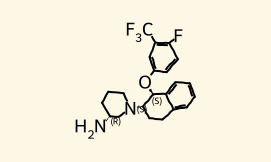 N[C@@H]1CCCN([C@H]2CCc3ccccc3[C@@H]2Oc2ccc(F)c(C(F)(F)F)c2)C1